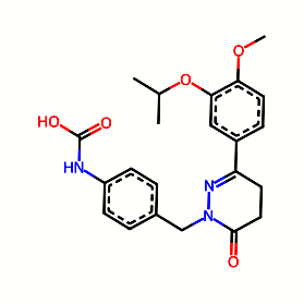 COc1ccc(C2=NN(Cc3ccc(NC(=O)O)cc3)C(=O)CC2)cc1OC(C)C